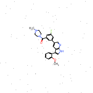 COc1ccccc1-c1c[nH]c2ncc(-c3cc(F)cc(C(=O)N4CCN(C)CC4)c3)cc12